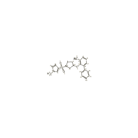 Cn1cc(S(=O)(=O)N2CCC(Oc3c(C#N)cccc3-c3ccncc3)C2)cn1